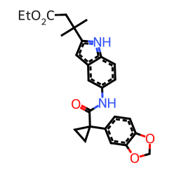 CCOC(=O)CC(C)(C)c1cc2cc(NC(=O)C3(c4ccc5c(c4)OCO5)CC3)ccc2[nH]1